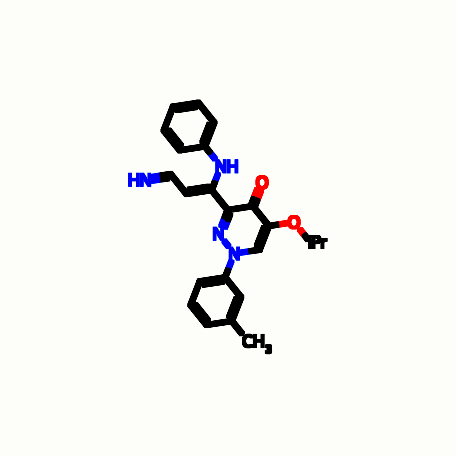 Cc1cccc(-n2cc(OC(C)C)c(=O)c(/C(=C/C=N)Nc3ccccc3)n2)c1